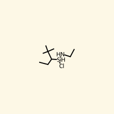 CCN[SiH](Cl)C(CC)C(C)(C)C